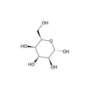 OC[C@H]1O[C@H](O)[C@@H](O)[C@@H](O)[C@H]1O